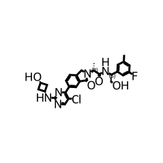 Cc1cc(F)cc([C@@H](CO)NC(=O)[C@@H](C)N2Cc3ccc(-c4nc(N[C@H]5C[C@H](O)C5)ncc4Cl)cc3C2=O)c1